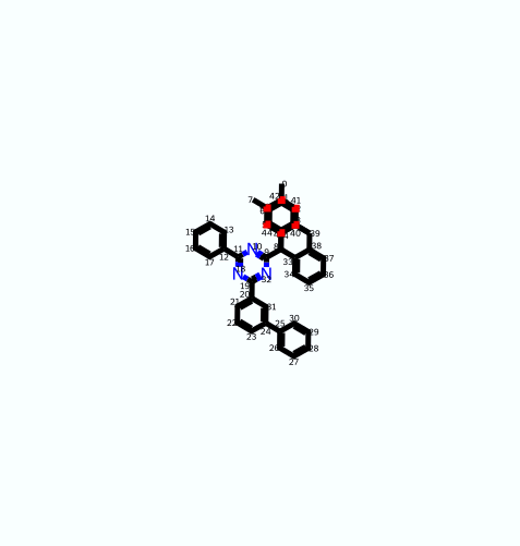 Cc1cc2c(cc1C)C1(c3nc(-c4ccccc4)nc(-c4cccc(-c5ccccc5)c4)n3)c3ccccc3C2c2ccccc21